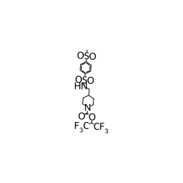 CS(=O)(=O)c1ccc(S(=O)(=O)NCC2CCN(C(=O)OC(C(F)(F)F)C(F)(F)F)CC2)cc1